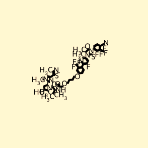 Cc1ncsc1-c1cn(C)c([C@@H]2C[C@@H](O)CN2C(=O)[C@@H](NC(=O)COCCCCOc2ccc(-c3ncc(N4C(=S)N(c5ccc(C#N)c(C(F)(F)F)c5F)C(=O)C4(C)C)cc3F)c(C(F)(F)F)c2)C(C)(C)C)n1